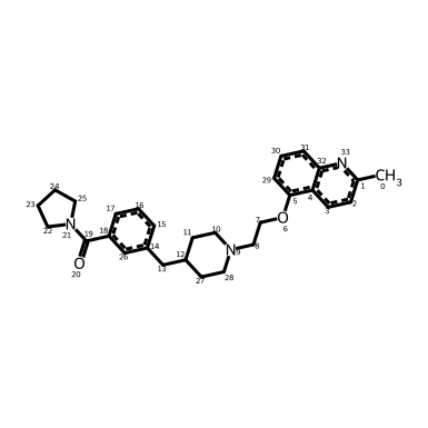 Cc1ccc2c(OCCN3CCC(Cc4cccc(C(=O)N5CCCC5)c4)CC3)cccc2n1